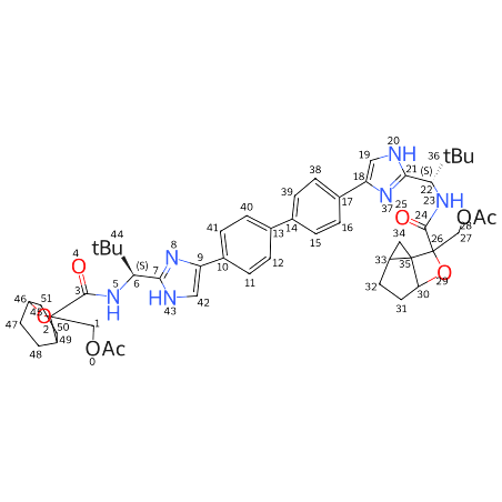 CC(=O)OCC1(C(=O)N[C@H](c2nc(-c3ccc(-c4ccc(-c5c[nH]c([C@@H](NC(=O)C6(COC(C)=O)OC7CCC8CC876)C(C)(C)C)n5)cc4)cc3)c[nH]2)C(C)(C)C)OC2CCC1CC2